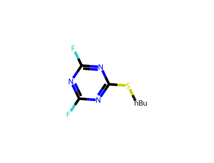 CCCCSc1nc(F)nc(F)n1